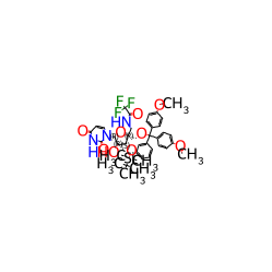 COc1ccc(C(OC[C@@]2(CNC(=O)C(F)(F)F)O[C@@H](n3ccc(=O)[nH]c3=O)[C@H](O)[C@@H]2O[Si](C)(C)C(C)(C)C)(c2ccccc2)c2ccc(OC)cc2)cc1